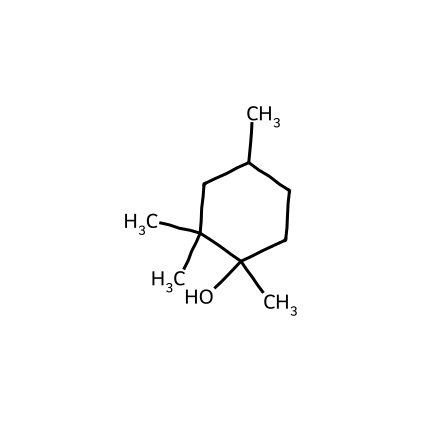 CC1CCC(C)(O)C(C)(C)C1